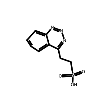 O=S(=O)(O)CCc1nnnc2ccccc12